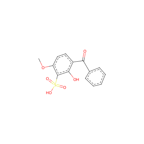 COc1ccc(C(=O)c2ccccc2)c(O)c1S(=O)(=O)O